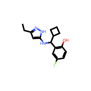 CCc1cc(NC(c2cc(F)ccc2O)C2CCC2)[nH]n1